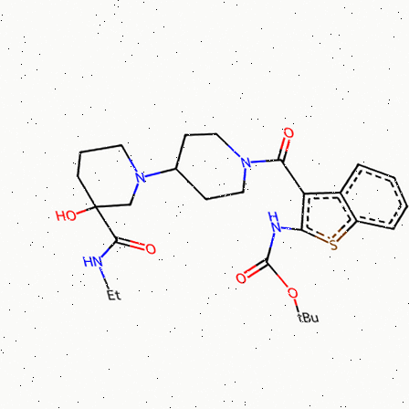 CCNC(=O)C1(O)CCCN(C2CCN(C(=O)c3c(NC(=O)OC(C)(C)C)sc4ccccc34)CC2)C1